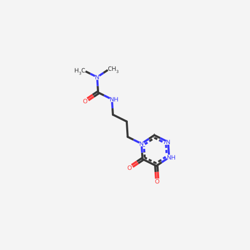 CN(C)C(=O)NCCCn1[c]n[nH]c(=O)c1=O